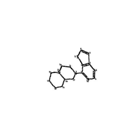 c1cc2ccsc2c(N2CCN3CCCCC3C2)n1